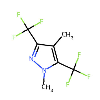 Cc1c(C(F)(F)F)nn(C)c1C(F)(F)F